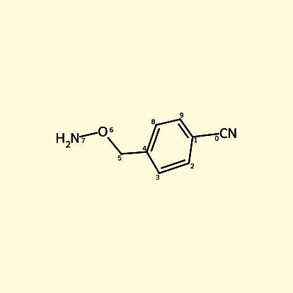 N#Cc1ccc(CON)cc1